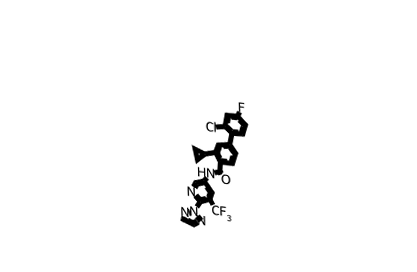 O=C(Nc1cnc(-n2nccn2)c(C(F)(F)F)c1)c1ccc(-c2ccc(F)cc2Cl)cc1C1CC1